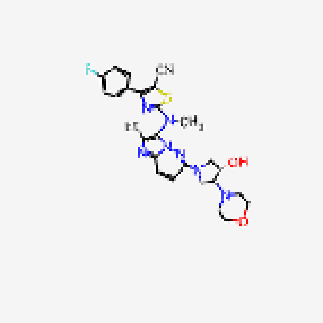 CCc1nc2ccc(N3C[C@H](O)[C@@H](N4CCOCC4)C3)nn2c1N(C)c1nc(-c2ccc(F)cc2)c(C#N)s1